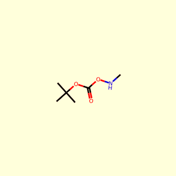 CNOC(=O)OC(C)(C)C